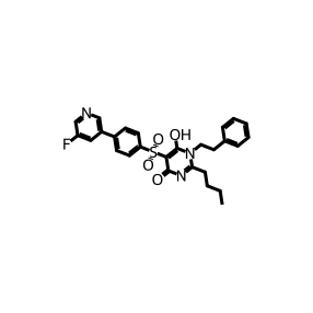 CCCCc1nc(=O)c(S(=O)(=O)c2ccc(-c3cncc(F)c3)cc2)c(O)n1CCc1ccccc1